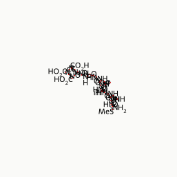 CSCC[C@H](NC(=O)CNC(=O)[C@H](Cc1c[nH]cn1)NC(=O)CNC(=O)[C@@H](NC(=O)CNC(=O)[C@H](Cc1c[nH]c2ccccc12)NC(=O)CNC(=O)c1ccc(NC(=O)CNC(=O)CN2CCN(CC(=O)O)CCN(CC(=O)O)CCN(CC(=O)O)CC2)cc1)C(C)C)C(N)=O